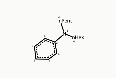 [CH2]CCCCCN(CCCCC)c1ccccc1